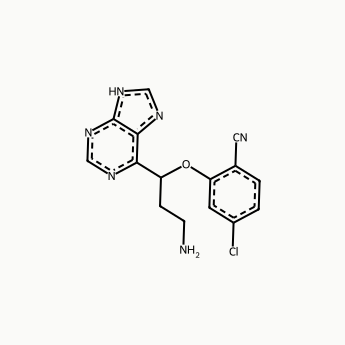 N#Cc1ccc(Cl)cc1OC(CCN)c1ncnc2[nH]cnc12